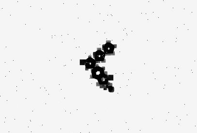 C=O.c1cc[nH]c1.c1ccc2c(c1)CCN2.c1ccsc1.c1ccsc1